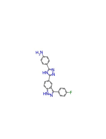 Nc1ccc(-c2nnc(-c3ccc4[nH]nc(-c5ccc(F)cc5)c4c3)[nH]2)cc1